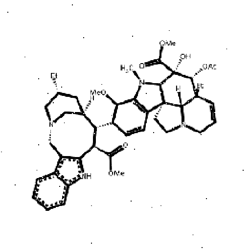 CC[C@@H]1C[C@@H]2C[N@](Cc3c([nH]c4ccccc34)[C@H](C(=O)OC)[C@H]2C2C=CC3=C(C2OC)N(C)C2[C@]34CCN3CC=C[C@@](CC)([C@@H](OC(C)=O)[C@]2(O)C(=O)OC)[C@H]34)C1